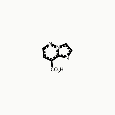 O=C(O)c1ccnn2ccnc12